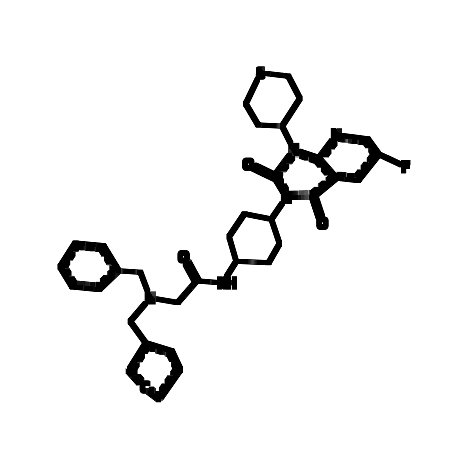 O=C(CN(Cc1ccccc1)Cc1ccccc1)NC1CCC(n2c(=O)c3cc(F)cnc3n(C3CCSCC3)c2=O)CC1